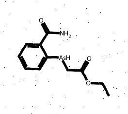 CCOC(=O)C[AsH]c1ccccc1C(N)=O